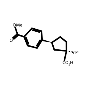 CCC[C@@]1(C(=O)O)CC[C@H](c2ccc(C(=O)OC)cc2)C1